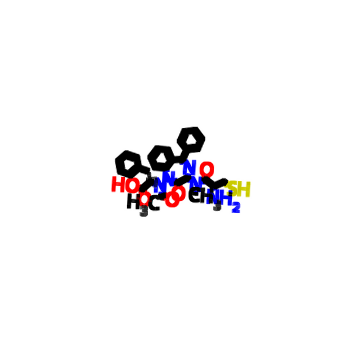 CC(=O)N([C@@H](Cc1ccccc1)C(=O)O)N1C(=O)C(N(C)C(=O)C(N)CS)N=C(c2ccccc2)c2ccccc21